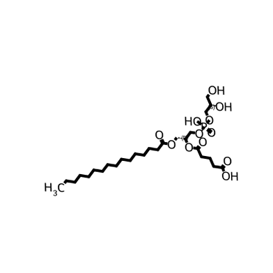 CCCCCCCCCCCCCCCC(=O)OC[C@H](COP(=O)(O)OC[C@@H](O)CO)OC(=O)CCCC(=O)O